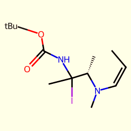 C/C=C\N(C)[C@@H](C)C(C)(I)NC(=O)OC(C)(C)C